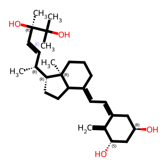 C=C1C(=CC=C2CCC[C@@]3(C)C2CC[C@@H]3[C@H](C)/C=C/[C@@](C)(O)C(C)(C)O)C[C@@H](O)C[C@@H]1O